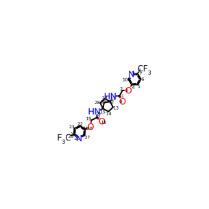 O=C(COc1ccc(C(F)(F)F)nc1)NC12CCC(NC(=O)COc3ccc(C(F)(F)F)nc3)(CC1)C2